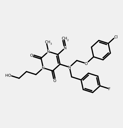 C=Nc1c(N(COC2C=CC(Cl)=CC2)Cc2ccc(F)cc2)c(=O)n(CCCO)c(=O)n1C